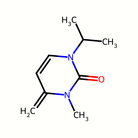 C=C1C=CN(C(C)C)C(=O)N1C